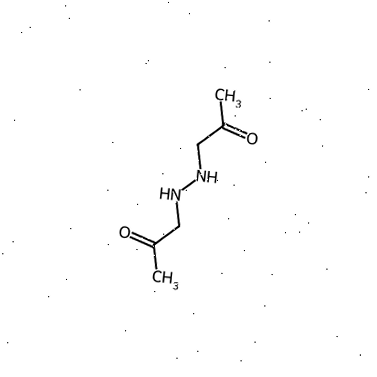 CC(=O)CNNCC(C)=O